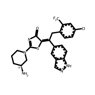 N[C@H]1CCCN(C2=NC(=O)C(=C(Cc3ccc(Cl)cc3C(F)(F)F)c3ccc4[nH]ncc4c3)S2)C1